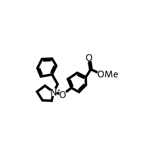 COC(=O)c1ccc(O[N+]2(Cc3ccccc3)CCCC2)cc1